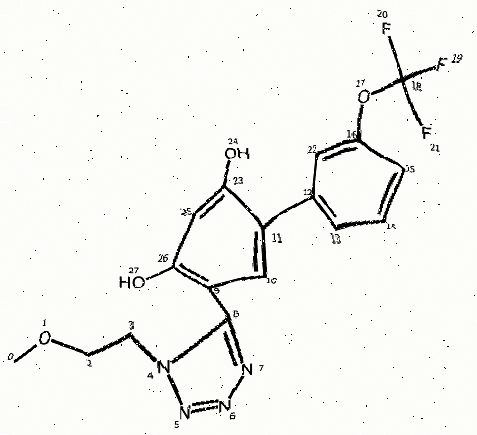 COCCn1nnnc1-c1cc(-c2cccc(OC(F)(F)F)c2)c(O)cc1O